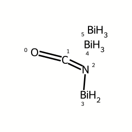 O=C=[N][BiH2].[BiH3].[BiH3]